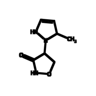 CC1C=CNN1C1CONC1=O